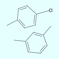 Cc1ccc(Cl)cc1.Cc1cccc(C)c1